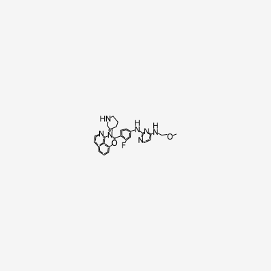 COCCNc1ccnc(Nc2ccc(C(=O)N(c3nccc4cccc(C)c34)[C@@H]3CCCNC3)c(F)c2)n1